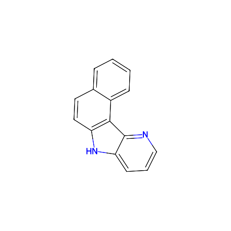 c1ccc2c(c1)ccc1[nH]c3cccnc3c12